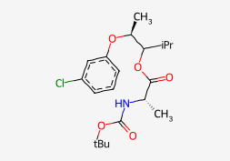 CC(C)C(OC(=O)[C@H](C)NC(=O)OC(C)(C)C)[C@H](C)Oc1cccc(Cl)c1